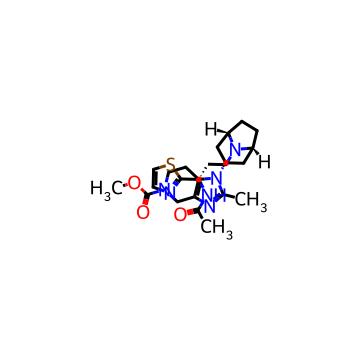 COC(=O)N1CCc2c(nc(C)n2[C@H]2C[C@H]3CC[C@@H](C2)N3CC[C@H](NC(C)=O)c2nccs2)C1